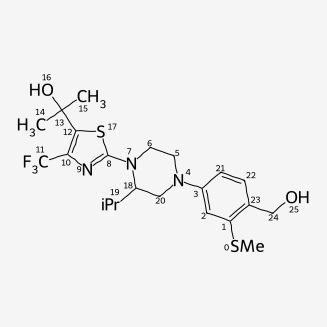 CSc1cc(N2CCN(c3nc(C(F)(F)F)c(C(C)(C)O)s3)C(C(C)C)C2)ccc1CO